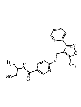 Cc1onc(-c2ccccc2)c1COc1ccc(C(=O)NC(C)CO)cn1